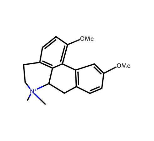 COc1ccc2c(c1)-c1c(OC)ccc3c1C(C2)[N+](C)(C)CC3